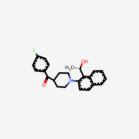 C[C@H](O)c1c(N2CCC(C(=O)c3ccc(F)cc3)CC2)ccc2ccccc12